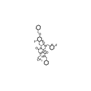 C=CCN1CC(=O)N2[C@@H](Cc3c(F)cc(OCc4ccccc4)cc3F)C(=O)N(Cc3cccc(F)n3)C[C@@H]2N1C(=O)NCc1ccccc1